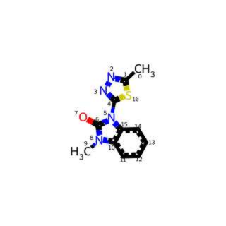 Cc1nnc(-n2c(=O)n(C)c3ccccc32)s1